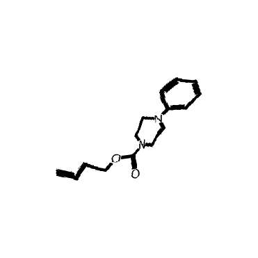 C=CCCOC(=O)N1CCN(c2ccccc2)CC1